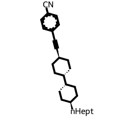 CCCCCCC[C@H]1CC[C@H]([C@H]2CC[C@H](C#Cc3ccc(C#N)cc3)CC2)CC1